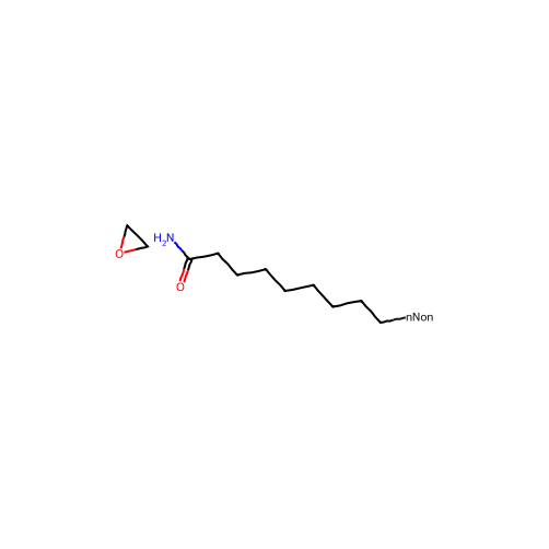 C1CO1.CCCCCCCCCCCCCCCCCC(N)=O